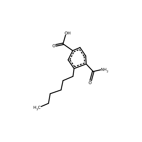 CCCCCCc1cc(C(=O)O)ccc1C(N)=O